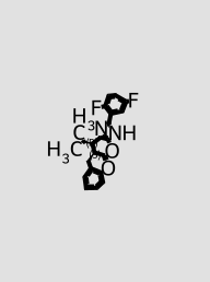 CC(C)[C@H]1c2nc(-c3cc(F)ccc3F)[nH]c2OC(=O)[C@H]1Cc1ccccc1